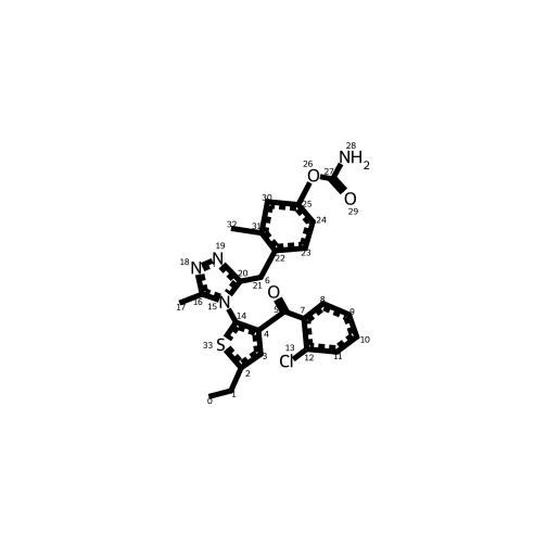 CCc1cc(C(=O)c2ccccc2Cl)c(-n2c(C)nnc2Cc2ccc(OC(N)=O)cc2C)s1